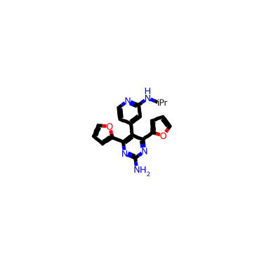 CC(C)Nc1cc(-c2c(-c3ccco3)nc(N)nc2-c2ccco2)ccn1